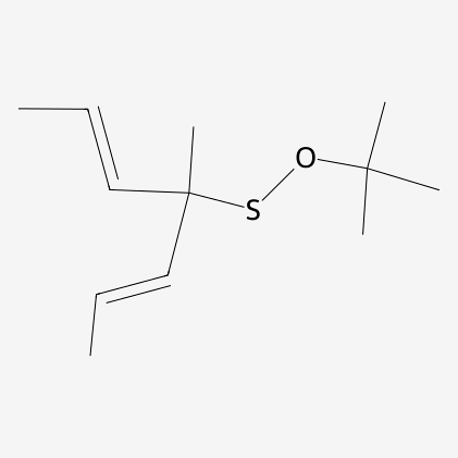 CC=CC(C)(C=CC)SOC(C)(C)C